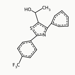 CC(O)c1sc(-c2ccc(C(F)(F)F)cc2)nc1-c1ccccc1